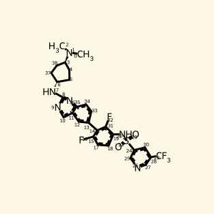 CN(C)[C@H]1CC[C@H](Nc2ncc3cc(-c4c(F)ccc(NS(=O)(=O)c5cncc(C(F)(F)F)c5)c4F)ccc3n2)CC1